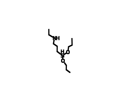 CCCO[SiH](CCCNCC)OCCC